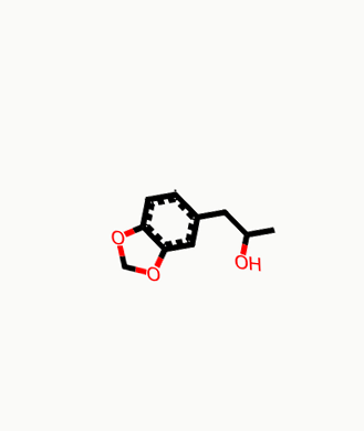 CC(O)Cc1[c]cc2c(c1)OCO2